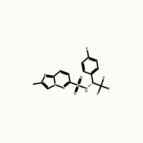 Cc1cn2nc(S(=O)(=O)N[C@H](c3ccc(F)cc3)C(F)(F)F)ccc2n1